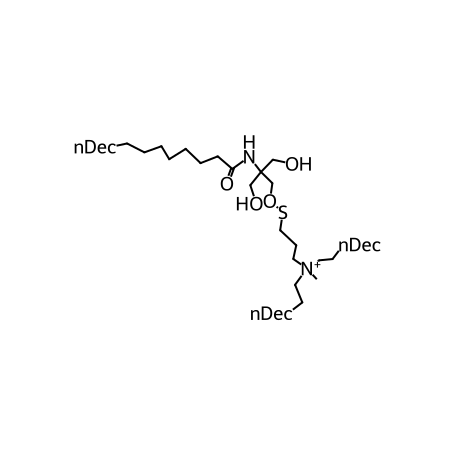 CCCCCCCCCCCCCCCCCC(=O)NC(CO)(CO)COSCCC[N+](C)(CCCCCCCCCCCC)CCCCCCCCCCCC